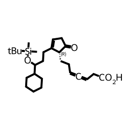 CC(C)(C)[Si](C)(C)OC(CCC1=CCC(=O)[C@@H]1CCC=C=CCC(=O)O)C1CCCCC1